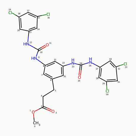 COC(=O)CCc1cc(NC(=O)Nc2cc(Cl)cc(Cl)c2)cc(NC(=O)Nc2cc(Cl)cc(Cl)c2)c1